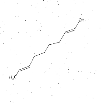 CC=CCCCCC=CO